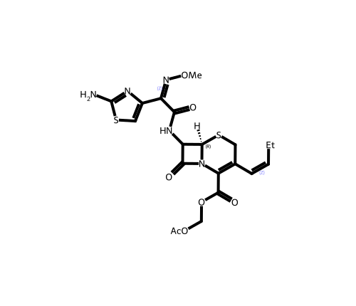 CC/C=C\C1=C(C(=O)OCOC(C)=O)N2C(=O)C(NC(=O)/C(=N\OC)c3csc(N)n3)[C@H]2SC1